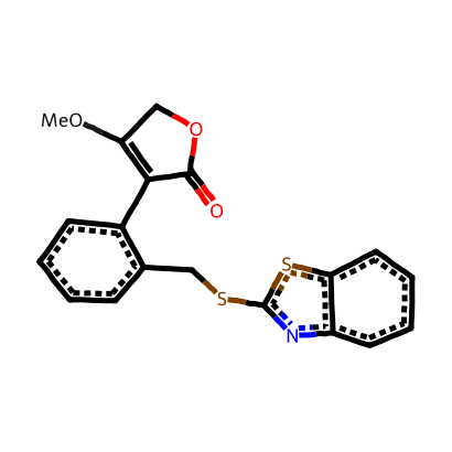 COC1=C(c2ccccc2CSc2nc3ccccc3s2)C(=O)OC1